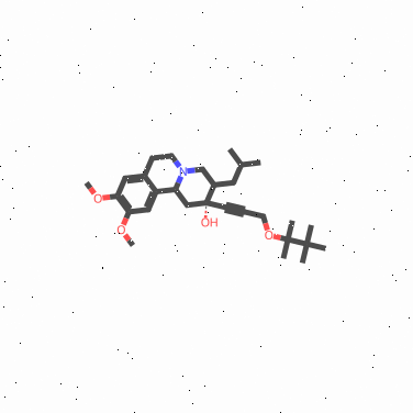 COc1cc2c(cc1OC)C1C[C@](O)(C#CCOC(C)(C)C(C)(C)C)C(CC(C)C)CN1CC2